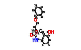 O=C(Nc1cccc(O)c1C(=O)O)OCCOc1ccccc1